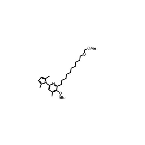 CCCCOc1c(C)cc(-n2c(C)ccc2C)nc1CCCCCCCCCCOCOC